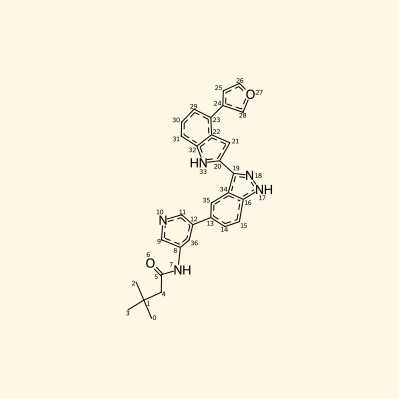 CC(C)(C)CC(=O)Nc1cncc(-c2ccc3[nH]nc(-c4cc5c(-c6ccoc6)cccc5[nH]4)c3c2)c1